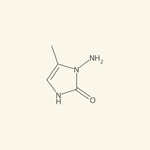 Cc1c[nH]c(=O)n1N